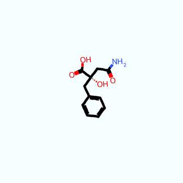 NC(=O)C[C@@](O)(Cc1ccccc1)C(=O)O